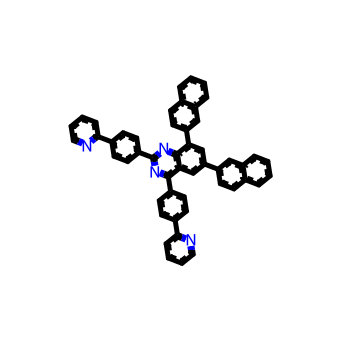 c1ccc(-c2ccc(-c3nc(-c4ccc(-c5ccccn5)cc4)c4cc(-c5ccc6ccccc6c5)cc(-c5ccc6ccccc6c5)c4n3)cc2)nc1